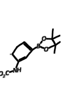 CC1(C)OB(C2=CC[CH]C(NC(=O)O)=C2)OC1(C)C